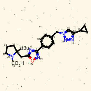 CC(C)(C)C1(Cc2nc(-c3ccc(Cn4cc(C5CC5)nn4)cc3)no2)CCCN1C(=O)O